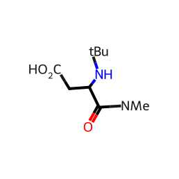 CNC(=O)C(CC(=O)O)NC(C)(C)C